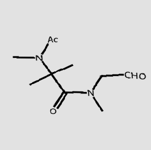 CC(=O)N(C)C(C)(C)C(=O)N(C)CC=O